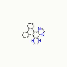 c1ccc2c(c1)c1ccccc1c1c3nccnc3c3nccnc3c21